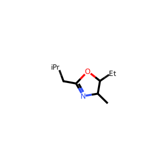 CCC1OC(CC(C)C)=NC1C